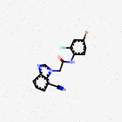 N#Cc1cccc2ncn(CC(=O)Nc3ccc(Br)cc3F)c12